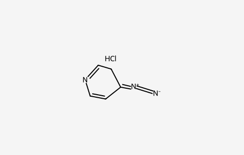 Cl.[N-]=[N+]=C1C=CN=CC1